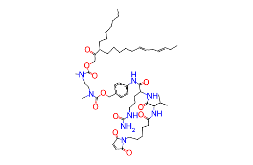 CCC=CCC=CCCCCCC(CCCCCCC)C(=O)COC(=O)N(C)CCN(C)C(=O)OCc1ccc(NC(=O)C(CCCNC(N)=O)NC(=O)C(NC(=O)CCCCCN2C(=O)C=CC2=O)C(C)C)cc1